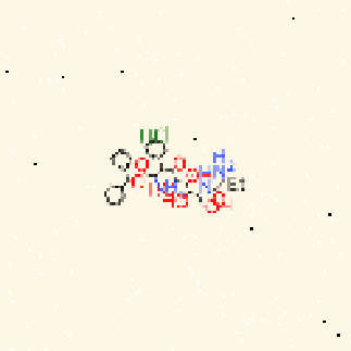 CC[C@H](N)C(=O)N[C@@H](CO)[C@@H](O)[C@@H](O)[C@H](O)C(=O)C(c1ccccc1)[C@H](N)C(=O)OC(c1ccccc1)c1ccccc1.Cl